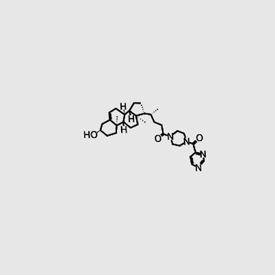 C[C@H](CCC(=O)N1CCN(C(=O)c2ccncn2)CC1)[C@H]1CC[C@H]2[C@@H]3CC=C4C[C@@H](O)CC[C@]4(C)[C@H]3CC[C@]12C